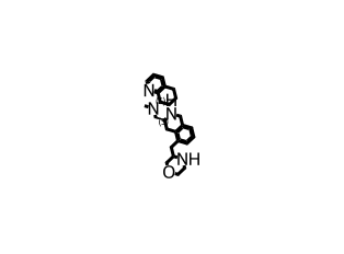 CN(C[C@@H]1Cc2c(cccc2CC2COCCN2)CN1)[C@H]1CCCc2cccnc21